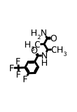 CC(NC(=O)c1ccc(F)c(C(F)(F)F)c1)C(C)C(N)=O